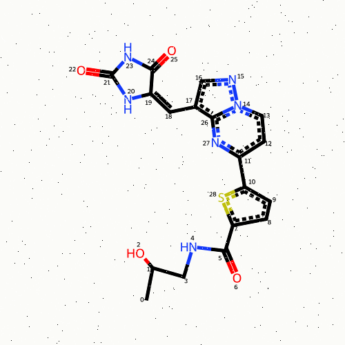 CC(O)CNC(=O)c1ccc(-c2ccn3ncc(C=C4NC(=O)NC4=O)c3n2)s1